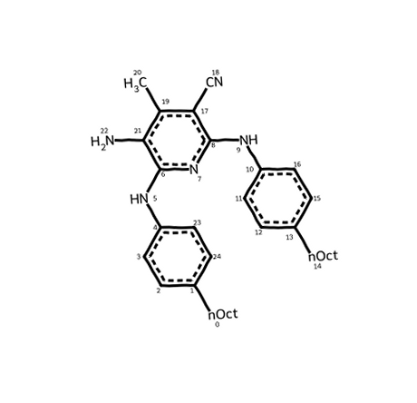 CCCCCCCCc1ccc(Nc2nc(Nc3ccc(CCCCCCCC)cc3)c(C#N)c(C)c2N)cc1